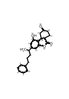 CC(CCCc1ccccc1)c1cc(O)c2c3c(c(=O)oc2c1)CCC(=O)C3